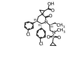 CC[C@@H](CN(C)S(=O)(=O)C1CC1)N1C(=O)[C@]2(CC2C(=O)O)C[C@H](c2cccc(Cl)c2)[C@H]1c1ccc(Cl)cc1